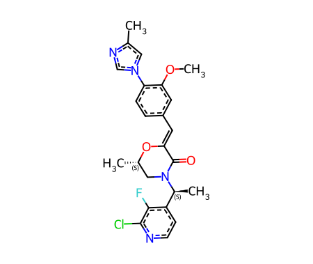 COc1cc(C=C2O[C@@H](C)CN([C@@H](C)c3ccnc(Cl)c3F)C2=O)ccc1-n1cnc(C)c1